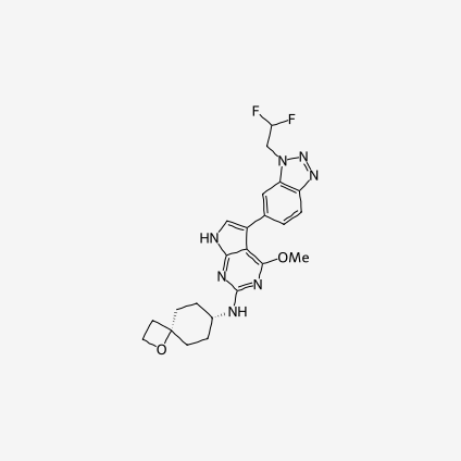 COc1nc(N[C@H]2CC[C@]3(CCO3)CC2)nc2[nH]cc(-c3ccc4nnn(CC(F)F)c4c3)c12